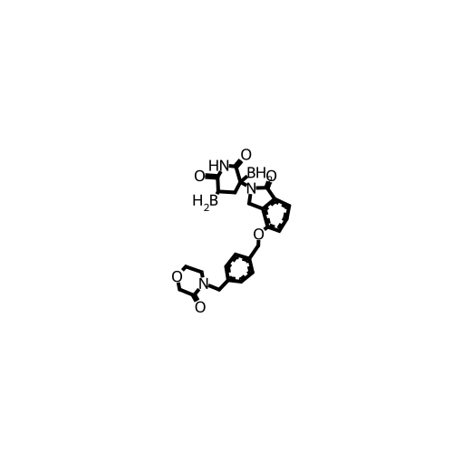 BC1CC(B)(N2Cc3c(OCc4ccc(CN5CCOCC5=O)cc4)cccc3C2=O)C(=O)NC1=O